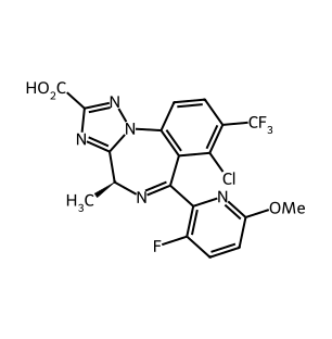 COc1ccc(F)c(C2=N[C@@H](C)c3nc(C(=O)O)nn3-c3ccc(C(F)(F)F)c(Cl)c32)n1